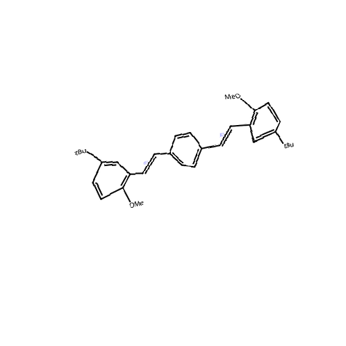 COc1ccc(C(C)(C)C)cc1/C=C/c1ccc(/C=C/c2cc(C(C)(C)C)ccc2OC)cc1